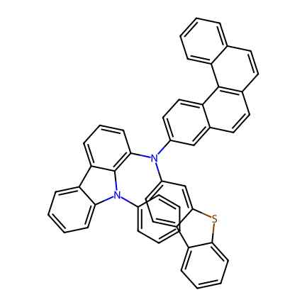 c1ccc(-n2c3ccccc3c3cccc(N(c4ccc5c(ccc6ccc7ccccc7c65)c4)c4ccc5c(c4)sc4ccccc45)c32)cc1